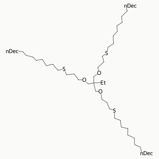 CCCCCCCCCCCCCCCCCCSCCCOCC(CC)(COCCCSCCCCCCCCCCCCCCCCCC)COCCCSCCCCCCCCCCCCCCCCCC